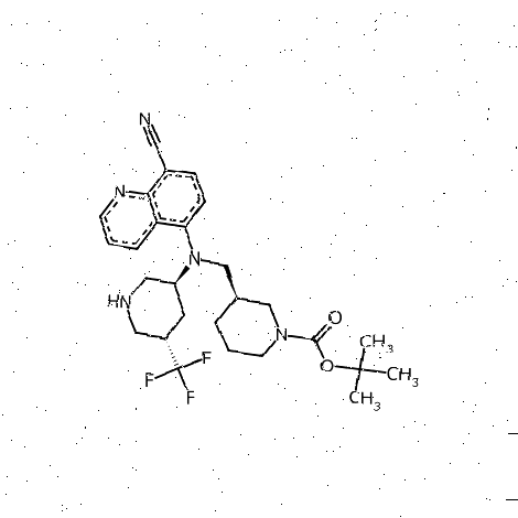 CC(C)(C)OC(=O)N1CCC[C@@H](CN(c2ccc(C#N)c3ncccc23)[C@@H]2CNC[C@@H](C(F)(F)F)C2)C1